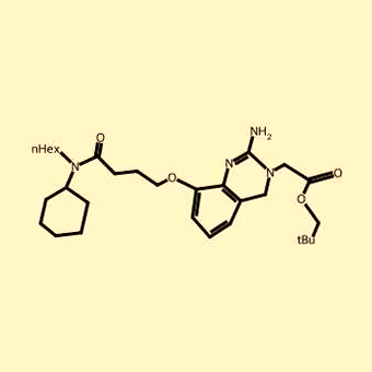 CCCCCCN(C(=O)CCCOc1cccc2c1N=C(N)N(CC(=O)OCC(C)(C)C)C2)C1CCCCC1